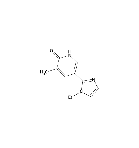 CCn1ccnc1-c1c[nH]c(=O)c(C)c1